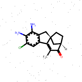 Nc1c(Cl)cc2c(c1N)C[C@@]13CC[C@H](C1)C(=O)C(C(F)(F)F)=C23